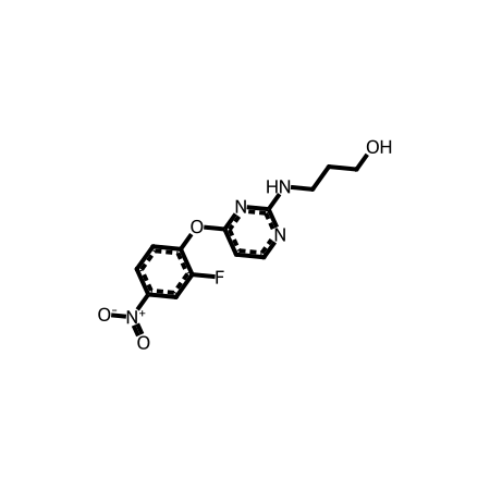 O=[N+]([O-])c1ccc(Oc2ccnc(NCCCO)n2)c(F)c1